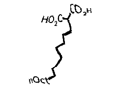 CCCCCCCCCCCCC/C=C/C(C(=O)O)C(=O)O